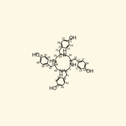 Oc1ccc(C[C@@H]2CN[C@H](Cc3ccc(O)cc3)CN[C@H](Cc3ccc(O)cc3)CN[C@H](Cc3ccc(O)cc3)CN2)cc1